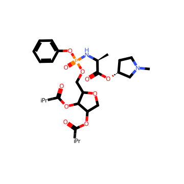 CC(C)C(=O)OC1COC(COP(=O)(N[C@@H](C)C(=O)O[C@@H]2CCN(C)C2)Oc2ccccc2)C1OC(=O)C(C)C